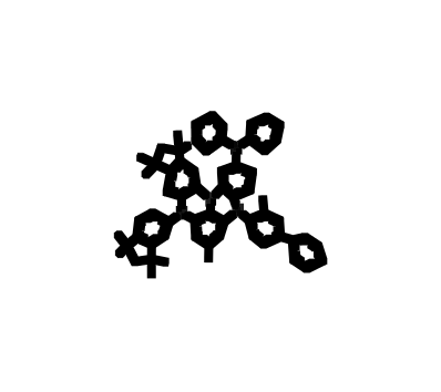 Cc1cc2c3c(c1)N(c1ccc(-c4ccccc4)cc1C)c1ccc(N(c4ccccc4)c4ccccc4)cc1B3c1cc3c(cc1N2c1ccc2c(c1)C(C)(C)CC2(C)C)C(C)(C)CC3(C)C